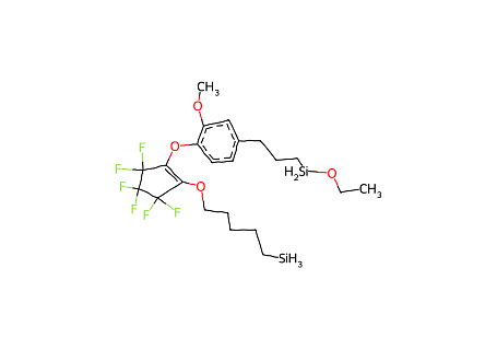 CCO[SiH2]CCCc1ccc(OC2=C(OCCCCC[SiH3])C(F)(F)C(F)(F)C2(F)F)c(OC)c1